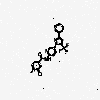 Cn1ccc(C(=O)Nc2ccc(-n3nc(-c4cccnc4)cc3C(F)(F)F)cn2)cc1=O